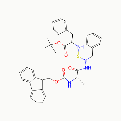 C[C@H](NC(=O)OCC1c2ccccc2-c2ccccc21)C(=O)NN(Cc1ccccc1)SN[C@H](Cc1ccccc1)C(=O)OC(C)(C)C